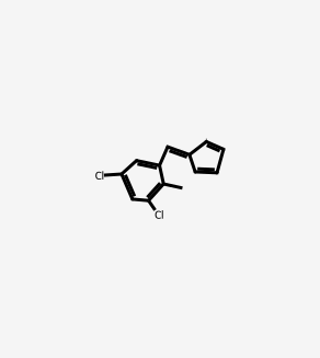 Cc1c(Cl)cc(Cl)cc1C=C1[C]=CC=C1